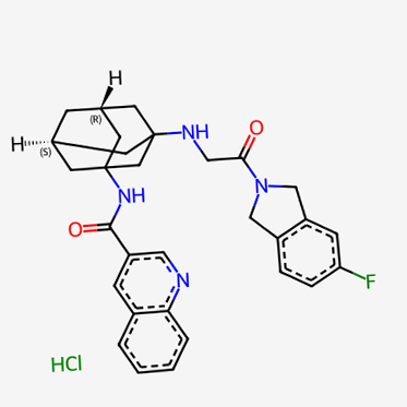 Cl.O=C(NC12C[C@@H]3C[C@@H](CC(NCC(=O)N4Cc5ccc(F)cc5C4)(C3)C1)C2)c1cnc2ccccc2c1